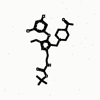 CCc1nn(CCNC(=O)OC(C)(C)C)c(CN2CCN(C(C)=O)CC2)c1Oc1cc(Cl)cc(Cl)c1